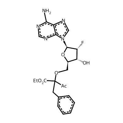 CCOC(=O)C(Cc1ccccc1)(OC[C@H]1O[C@@H](n2cnc3c(N)ncnc32)[C@H](F)[C@@H]1O)C(C)=O